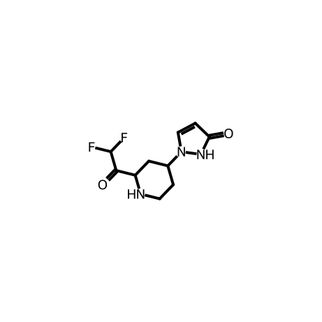 O=C(C(F)F)C1CC(n2ccc(=O)[nH]2)CCN1